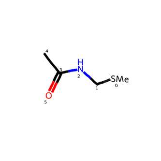 [CH2]SCNC(C)=O